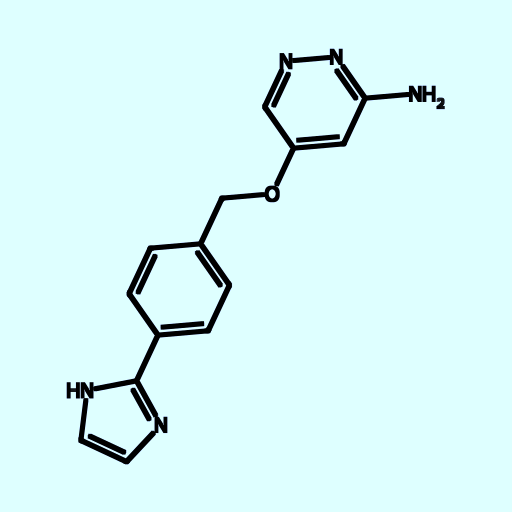 Nc1cc(OCc2ccc(-c3ncc[nH]3)cc2)cnn1